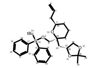 C=CC[C@H]1CCC[C@@](CO[Si](c2ccccc2)(c2ccccc2)C(C)(C)C)(C[C@@H]2COC(C)(C)O2)O1